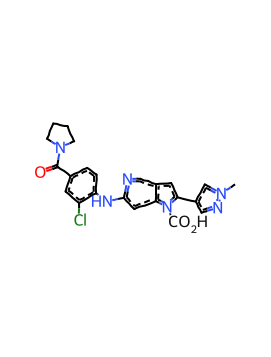 Cn1cc(-c2cc3cnc(Nc4ccc(C(=O)N5CCCC5)cc4Cl)cc3n2C(=O)O)cn1